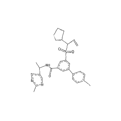 C=CC(C1CCCC1)S(=O)(=O)c1cc(C(=O)NC(C)c2cnc(C)nc2)cc(-c2ccc(C)cc2)c1